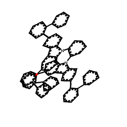 c1ccc(-c2ccccc2-c2ccc3c(c2)c2cc(-c4ccccc4-c4ccccc4)ccc2n3-c2ccccc2-n2c3ccc(-c4ccccc4-c4ccccc4)cc3c3cc(-c4ccccc4-c4ccccc4)ccc32)cc1